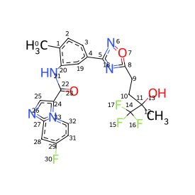 Cc1ccc(-c2noc(CCC(C)(O)C(F)(F)F)n2)cc1NC(=O)c1cnc2cc(F)ccn12